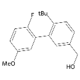 COc1ccc(F)c(-c2cc(CO)ccc2C(C)(C)C)c1